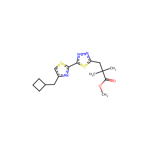 COC(=O)C(C)(C)Cc1nnc(-c2nc(CC3CCC3)cs2)s1